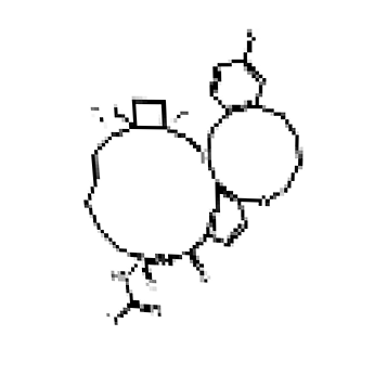 CCC(=O)NS1(=O)=NC(=O)c2ccc3c(c2)N(Cc2ccc(Cl)cc2CCCCO3)C[C@@H]2CC[C@H]2[C@@H](O)/C=C/CCC1